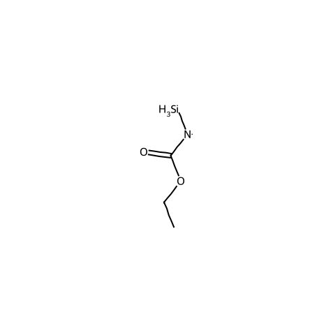 CCOC(=O)[N][SiH3]